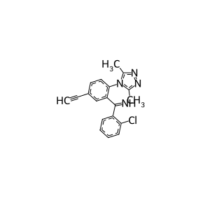 C#Cc1ccc(-n2c(C)nnc2C)c(C(=N)c2ccccc2Cl)c1